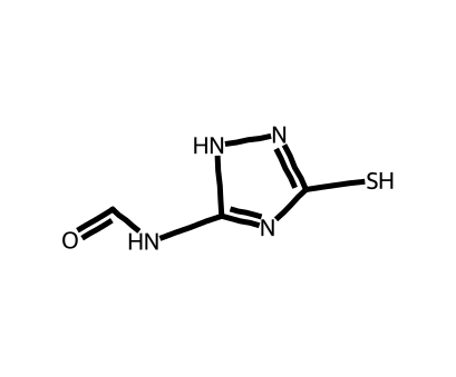 O=CNc1nc(S)n[nH]1